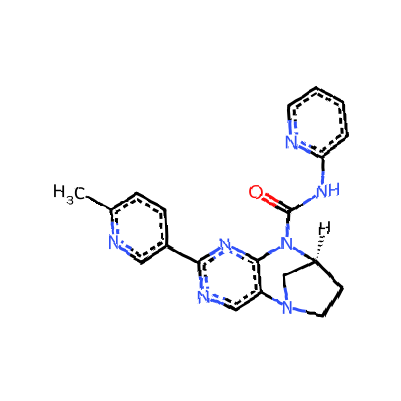 Cc1ccc(-c2ncc3c(n2)N(C(=O)Nc2ccccn2)[C@H]2CCN3C2)cn1